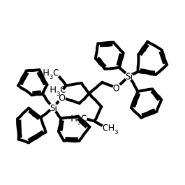 CC(C)CC(CO[Si](c1ccccc1)(c1ccccc1)c1ccccc1)(CO[Si](c1ccccc1)(c1ccccc1)c1ccccc1)CC(C)C